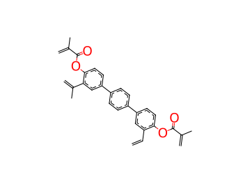 C=Cc1cc(-c2ccc(-c3ccc(OC(=O)C(=C)C)c(C(=C)C)c3)cc2)ccc1OC(=O)C(=C)C